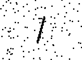 CCCC=CCCCCCCCCN=CCCC